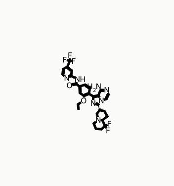 CCOc1cc(C(=O)Nc2cc(C(F)(F)F)ccn2)ccc1-c1nc([C@@H]2CCC3N(CCCC3(F)F)C2)n2ccnc(N)c12